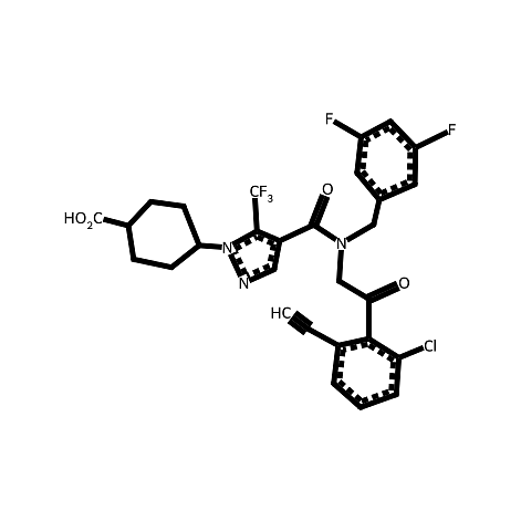 C#Cc1cccc(Cl)c1C(=O)CN(Cc1cc(F)cc(F)c1)C(=O)c1cnn(C2CCC(C(=O)O)CC2)c1C(F)(F)F